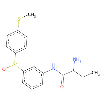 CCC(N)C(=O)Nc1cccc([S+]([O-])c2ccc(SC)cc2)c1